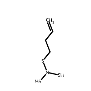 C=CCCSN(S)S